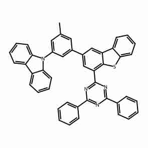 Cc1cc(-c2cc(-c3nc(-c4ccccc4)nc(-c4ccccc4)n3)c3sc4ccccc4c3c2)cc(-n2c3ccccc3c3ccccc32)c1